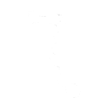 NC(=O)N(CCCCN1CCN(c2ccc3c(c2)OCCCO3)CC1)c1cc2ccccc2s1